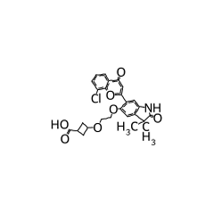 CC1(C)C(=O)Nc2cc(-c3cc(=O)c4cccc(Cl)c4o3)c(OCCOC3CC(C(=O)O)C3)cc21